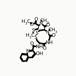 COC(=O)[C@H](CSC)N(C)C(=O)[C@@H]1CSSC[C@@H](NC(=O)c2nc3ccccc3cc2O)C(=O)NCC(=O)N1C